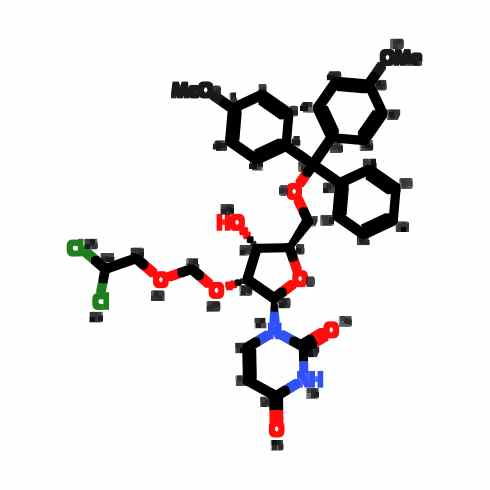 COc1ccc(C(OC[C@H]2O[C@@H](n3ccc(=O)[nH]c3=O)[C@H](OCOCC(Cl)Cl)[C@@H]2O)(c2ccccc2)c2ccc(OC)cc2)cc1